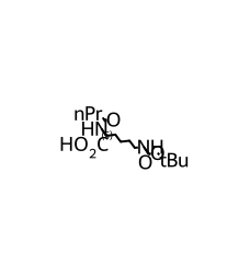 CCCC(=O)N[C@@H](CCCCNC(=O)OC(C)(C)C)C(=O)O